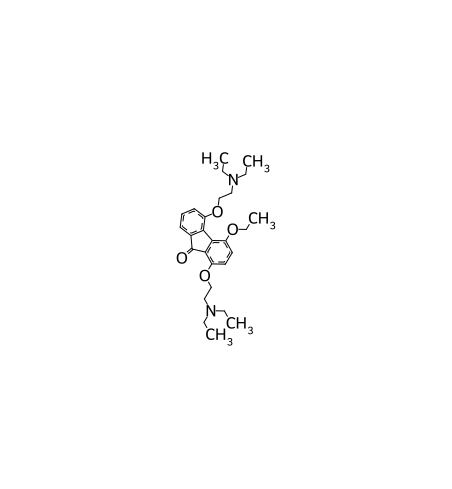 CCOc1ccc(OCCN(CC)CC)c2c1-c1c(OCCN(CC)CC)cccc1C2=O